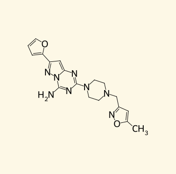 Cc1cc(CN2CCN(c3nc(N)n4nc(-c5ccco5)cc4n3)CC2)no1